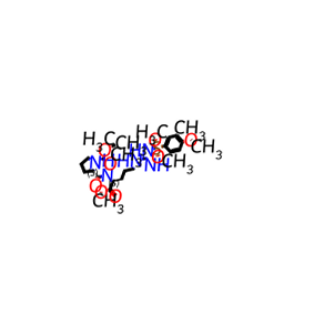 COC(=O)[C@H](CCCNC(=N)NS(=O)(=O)c1c(C)cc(OC)c(C)c1C)NC(=O)[C@@H]1CCCN1C(=O)OC(C)(C)C